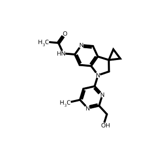 CC(=O)Nc1cc2c(cn1)C1(CC1)CN2c1cc(C)nc(CO)n1